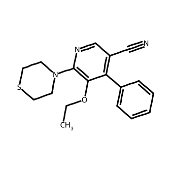 CCOc1c(N2CCSCC2)ncc(C#N)c1-c1ccccc1